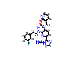 N#CN1CCN=C1c1ccc(N(C=O)Cc2cccnc2)c(NCCc2cccc(F)c2)n1